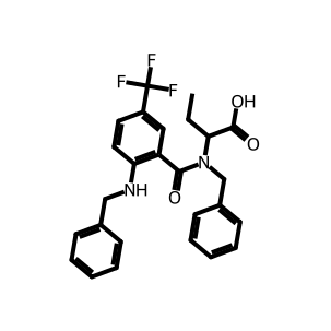 CCC(C(=O)O)N(Cc1ccccc1)C(=O)c1cc(C(F)(F)F)ccc1NCc1ccccc1